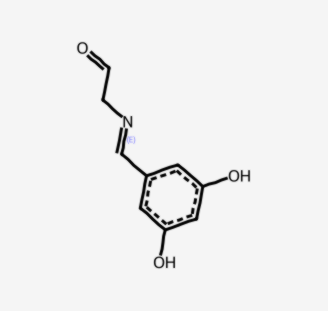 O=CC/N=C/c1cc(O)cc(O)c1